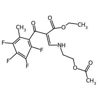 CCOC(=O)/C(=C\NCCOC(C)=O)C(=O)c1c(C)c(F)c(F)c(F)c1F